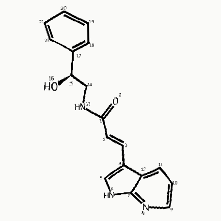 O=C(C=Cc1c[nH]c2ncccc12)NC[C@@H](O)c1ccccc1